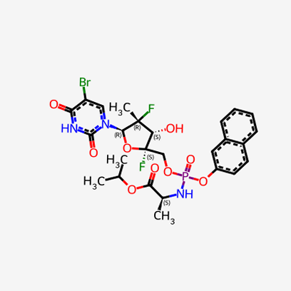 CC(C)OC(=O)[C@H](C)NP(=O)(OC[C@@]1(F)O[C@@H](n2cc(Br)c(=O)[nH]c2=O)[C@](C)(F)[C@@H]1O)Oc1ccc2ccccc2c1